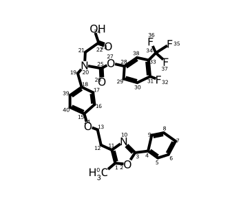 Cc1oc(-c2ccccc2)nc1CCOc1ccc(CN(CC(=O)O)C(=O)Oc2ccc(F)c(C(F)(F)F)c2)cc1